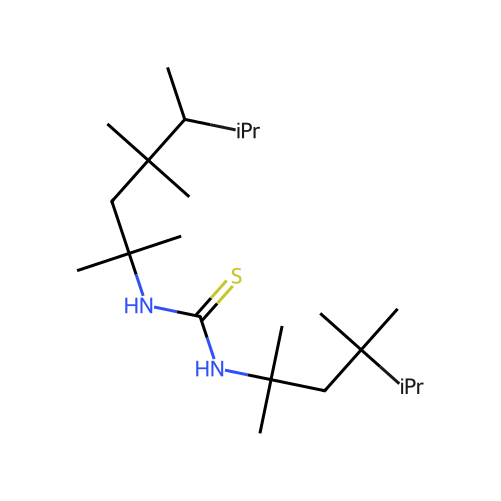 CC(C)C(C)C(C)(C)CC(C)(C)NC(=S)NC(C)(C)CC(C)(C)C(C)C